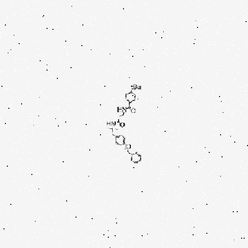 CC(C)(Cc1ccc(OCc2ccccc2)cc1)NC(=O)CCNC(=O)c1ccc(C(C)(C)C)cc1